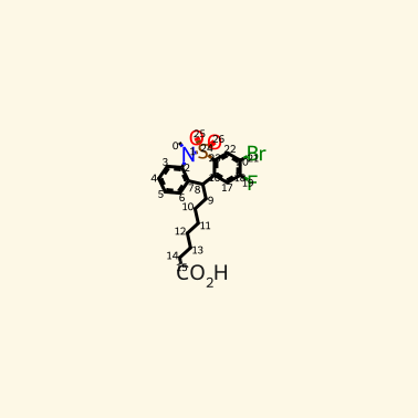 CN1c2ccccc2C(CCCCCCC(=O)O)c2cc(F)c(Br)cc2S1(=O)=O